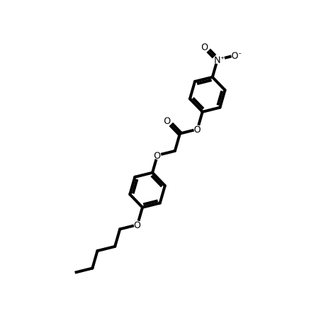 CCCCCOc1ccc(OCC(=O)Oc2ccc([N+](=O)[O-])cc2)cc1